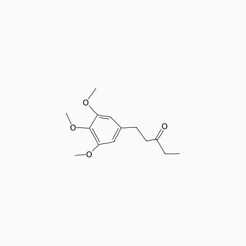 CCC(=O)CCc1cc(OC)c(OC)c(OC)c1